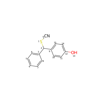 N#CSC(c1ccccc1)c1ccc(O)cc1